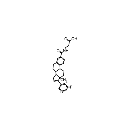 C[C@]12CCC3c4ccc(C(=O)NCCC(=O)O)cc4CCC3C1CC=C2c1cncc(F)c1